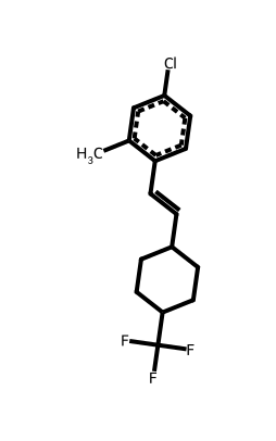 Cc1cc(Cl)ccc1/C=C/C1CCC(C(F)(F)F)CC1